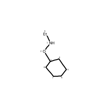 CCNOC1CCCCC1